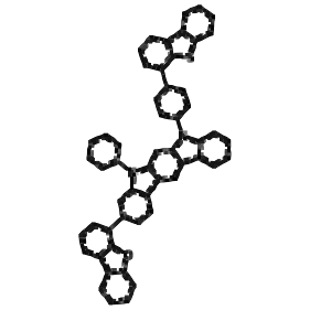 c1ccc(-n2c3cc(-c4cccc5c4oc4ccccc45)ccc3c3cc4c5ccccc5n(-c5ccc(-c6cccc7c6sc6ccccc67)cc5)c4cc32)cc1